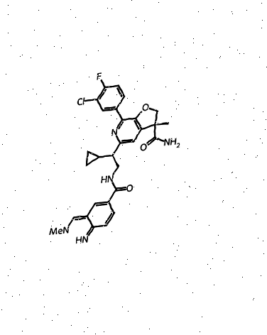 CN/C=C1/C=C(C(=O)NC[C@H](c2cc3c(c(-c4ccc(F)c(Cl)c4)n2)OC[C@]3(C)C(N)=O)C2CC2)C=CC1=N